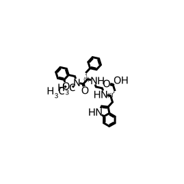 COc1ccccc1CN(C)C(=O)[C@H](Cc1ccccc1)NCCN[C@H](CC(=O)O)Cc1c[nH]c2ccccc12